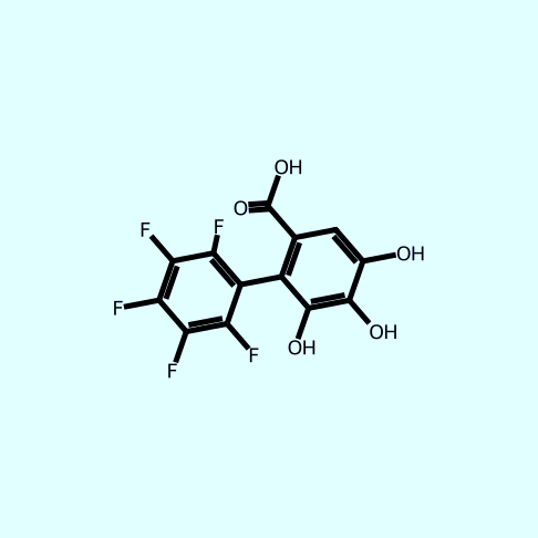 O=C(O)c1cc(O)c(O)c(O)c1-c1c(F)c(F)c(F)c(F)c1F